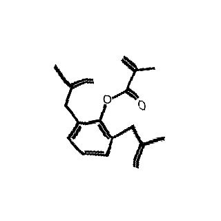 C=C(C)Cc1cccc(CC(=C)C)c1OC(=O)C(=C)C